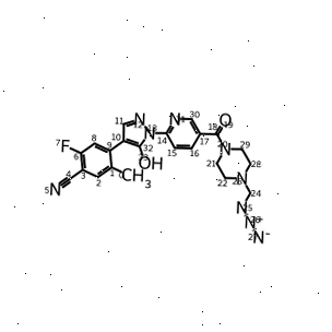 Cc1cc(C#N)c(F)cc1-c1cnn(-c2ccc(C(=O)N3CCN(CN=[N+]=[N-])CC3)cn2)c1O